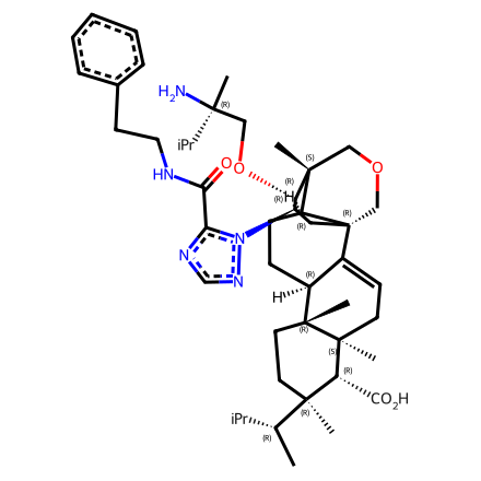 CC(C)[C@@H](C)[C@@]1(C)CC[C@]2(C)[C@H]3CC[C@@H]4[C@@]5(COC[C@@]4(C)[C@@H](OC[C@](C)(N)C(C)C)[C@H](n4ncnc4C(=O)NCCc4ccccc4)C5)C3=CC[C@@]2(C)[C@@H]1C(=O)O